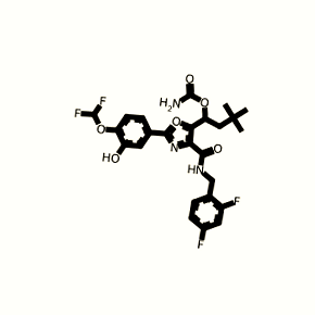 CC(C)(C)CC(OC(N)=O)c1oc(-c2ccc(OC(F)F)c(O)c2)nc1C(=O)NCc1ccc(F)cc1F